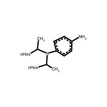 CCCCCCC(C)N(c1ccc(N)cc1)C(C)CCCCCC